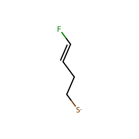 F/C=C/CC[S]